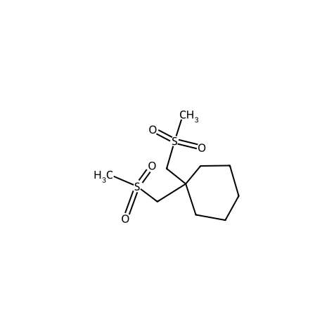 CS(=O)(=O)CC1(CS(C)(=O)=O)CCCCC1